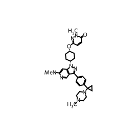 CNc1cc2c(cn1)c(-c1ccc(C3(N4CCN(C)CC4)CC3)cc1)nn2[C@H]1CC[C@@H](Oc2ccc(=O)n(C)n2)CC1